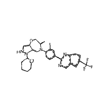 Cc1cc(-c2ncc3cc(C(F)(F)F)ccc3n2)ccc1N1C=C2C(=CNN2C2CCCCO2)OCC1C